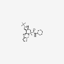 CC(C)(C)c1cc2n(n1)CC(C)(C(=O)NC1CCCCC1)N(Cc1cccs1)C2=O